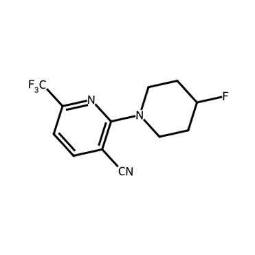 N#Cc1ccc(C(F)(F)F)nc1N1CCC(F)CC1